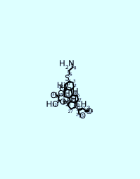 C[C@]12CC[C@H](SCCCN)C[C@H]1CC[C@@H]1[C@@H]2CC[C@]2(C)[C@@H](C3=CC(=O)OC3)CC[C@@H]12.O=C(O)C(=O)O